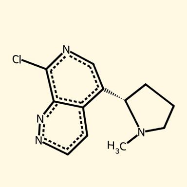 CN1CCC[C@H]1c1cnc(Cl)c2nnccc12